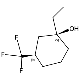 CC[C@]1(O)CCC[C@@H](C(F)(F)F)C1